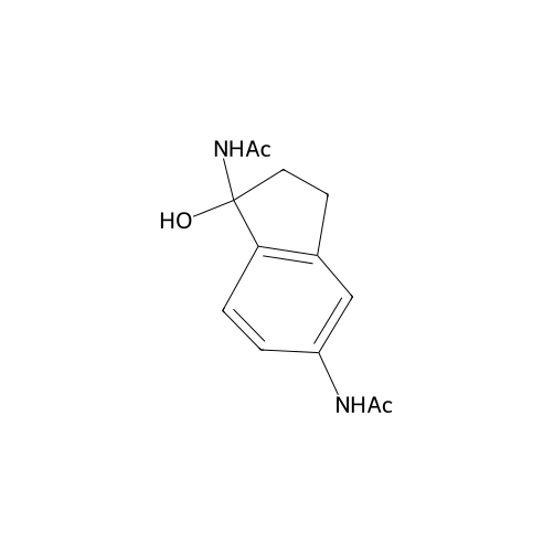 CC(=O)Nc1ccc2c(c1)CCC2(O)NC(C)=O